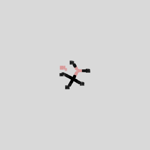 B.CCCC(CC)(CC)B(CC)CC